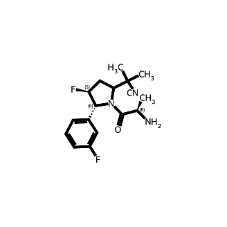 C[C@@H](N)C(=O)N1C(C(C)(C)C#N)C[C@H](F)[C@H]1c1cccc(F)c1